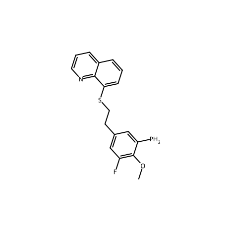 COc1c(F)cc(CCSc2cccc3cccnc23)cc1P